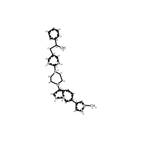 Cn1cc(-c2ccc3c(N4CCN(c5ncc(CC(O)c6ccccc6)cn5)CC4)cnn3c2)cn1